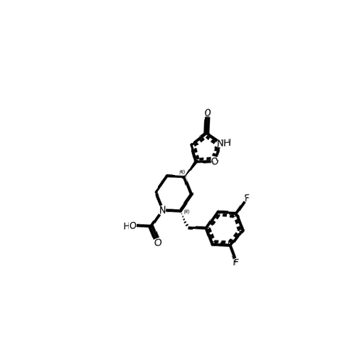 O=C(O)N1CC[C@@H](c2cc(=O)[nH]o2)C[C@@H]1Cc1cc(F)cc(F)c1